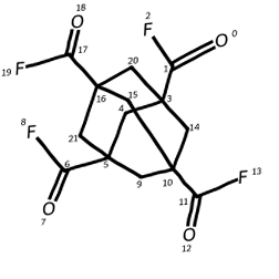 O=C(F)C12CC3(C(=O)F)CC(C(=O)F)(C1)CC(C(=O)F)(C2)C3